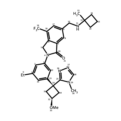 CCc1cc(N2Cc3c(cc(CNC4(C)CCC4)cc3C(F)(F)F)C2=O)cc([C@]2(c3nncn3C)C[C@H](OC)C2)c1